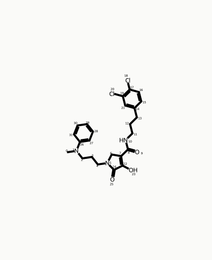 CN(CCCN1CC(C(=O)NCCCc2ccc(Cl)c(Cl)c2)=C(O)C1=O)c1ccccc1